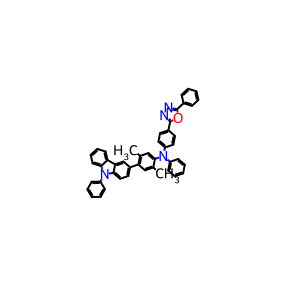 Cc1cc(N(c2ccccc2)c2ccc(-c3nnc(-c4ccccc4)o3)cc2)c(C)cc1-c1ccc2c(c1)c1ccccc1n2-c1ccccc1